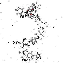 COC[C@H](NC(=O)[C@@H]1C[C@@H](O)CN1C(=O)[C@@H](c1cc(N2CCC(CN3CCC(O[C@H]4C[C@H](Oc5cc(N6C7CCC6CN(c6cc(-c8ccccc8O)nnc6N)C7)ccn5)C4)CC3)CC2)no1)C(C)C)c1ccc(-c2scnc2C)cc1